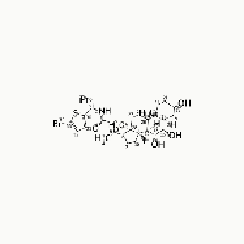 CC(C)[C@H](NC(=O)C[C@@H](C)C1CC[C@H]2[C@@H]3[C@H](O)[C@H](O)[C@@H]4C[C@H](O)CC[C@]4(C)[C@H]3CC[C@]12C)c1ccc(Br)s1